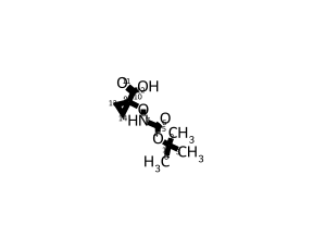 CC(C)(C)OC(=O)NOC1(C(=O)O)CC1